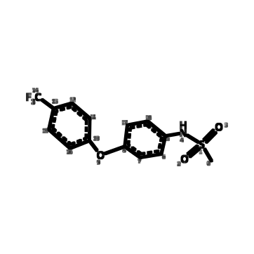 CS(=O)(=O)Nc1ccc(Oc2ccc(C(F)(F)F)cc2)cc1